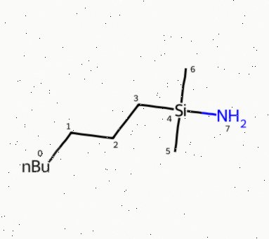 CCCCCCC[Si](C)(C)N